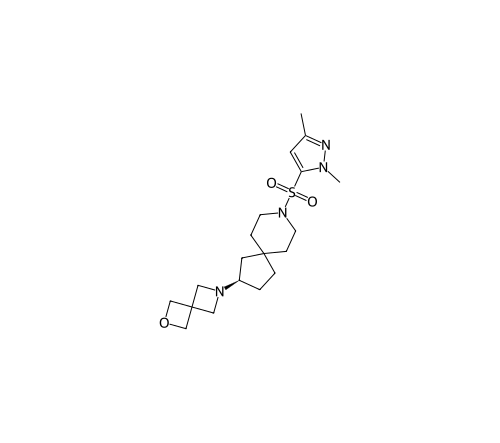 Cc1cc(S(=O)(=O)N2CCC3(CC[C@@H](N4CC5(COC5)C4)C3)CC2)n(C)n1